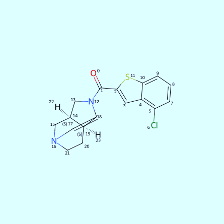 O=C(c1cc2c(Cl)cccc2s1)N1C[C@@H]2CN3C=C1[C@H]2CC3